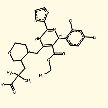 CCOC(=O)C1=C(CN2CCOCC2CC(C)(C)C(=O)O)NC(c2nccs2)=N[C@H]1c1ccc(Cl)cc1Cl